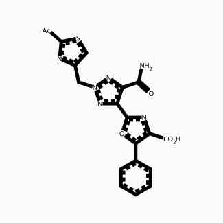 CC(=O)c1nc(Cn2nc(C(N)=O)c(-c3nc(C(=O)O)c(-c4ccccc4)o3)n2)cs1